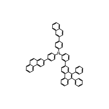 c1ccc(-c2c(-c3ccccc3)c3cc(-c4cccc(N(c5ccc(-c6ccc7ccccc7c6)cc5)c5ccc(-c6ccc7c(ccc8ccccc87)c6)cc5)c4)ccc3c3ccccc23)cc1